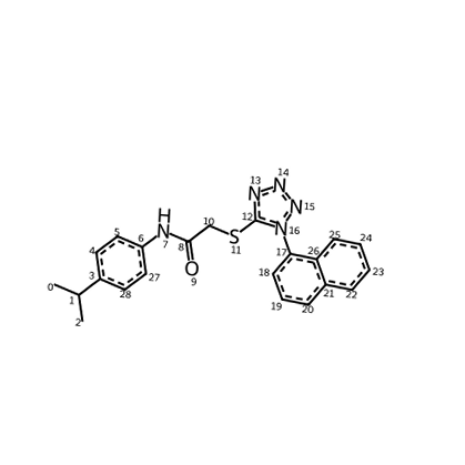 CC(C)c1ccc(NC(=O)CSc2nnnn2-c2cccc3ccccc23)cc1